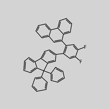 Fc1cc(-c2ccc3c(c2)C(c2ccccc2)(c2ccccc2)c2ccccc2-3)c(-c2cc3ccccc3c3ccccc23)cc1F